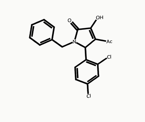 CC(=O)C1=C(O)C(=O)N(Cc2ccccc2)C1c1ccc(Cl)cc1Cl